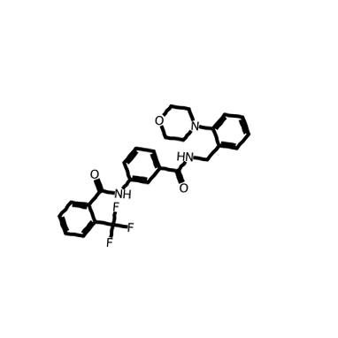 O=C(NCc1ccccc1N1CCOCC1)c1cccc(NC(=O)c2ccccc2C(F)(F)F)c1